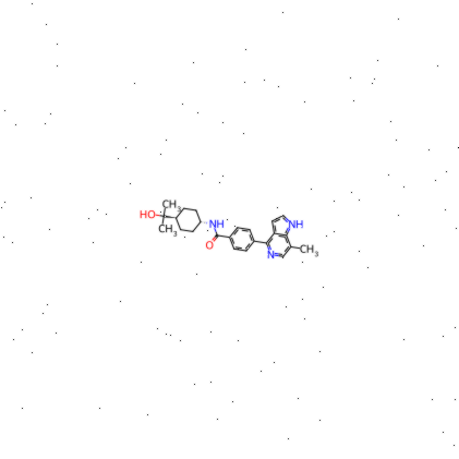 Cc1cnc(-c2ccc(C(=O)N[C@H]3CC[C@H](C(C)(C)O)CC3)cc2)c2cc[nH]c12